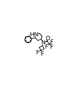 O=C(N(C1CCNC(c2ccccc2)C1)C1CC(F)(F)C1)C(F)(F)F